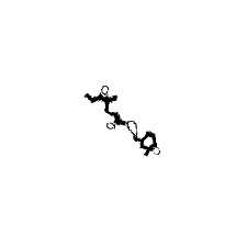 CCC1OC1(C)CCC(=O)OCC1CCC2OC2(C)C1